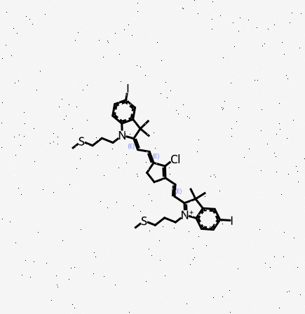 CSCCCN1/C(=C/C=C2\CCC(/C=C/C3=[N+](CCCSC)c4ccc(I)cc4C3(C)C)=C2Cl)C(C)(C)c2cc(I)ccc21